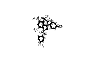 CSc1cc(C)c2c(ccn2S(=O)(=O)c2ccc(C)cc2)c1C(N)(c1nc2cc(C#N)ccc2[nH]1)C(F)(F)F